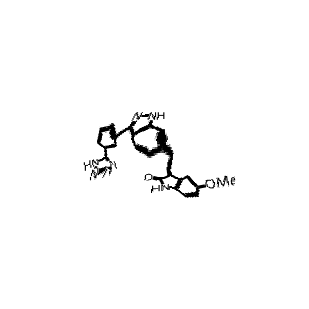 COc1ccc2c(c1)C(=Cc1ccc3c(-c4cccc(-c5nnn[nH]5)c4)n[nH]c3c1)C(=O)N2